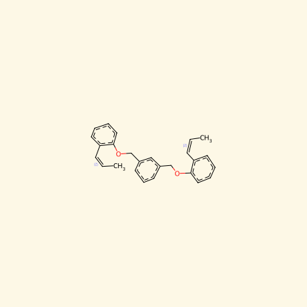 C/C=C\c1ccccc1OCc1cccc(COc2ccccc2/C=C\C)c1